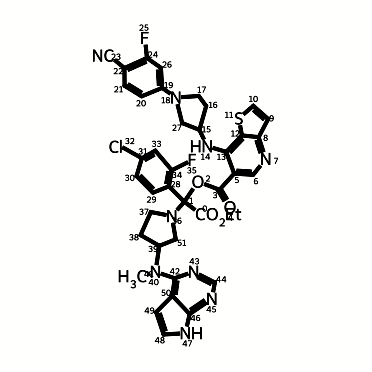 CCOC(=O)C(OC(=O)c1cnc2ccsc2c1NC1CCN(c2ccc(C#N)c(F)c2)C1)(c1ccc(Cl)cc1F)N1CCC(N(C)c2ncnc3[nH]ccc23)C1